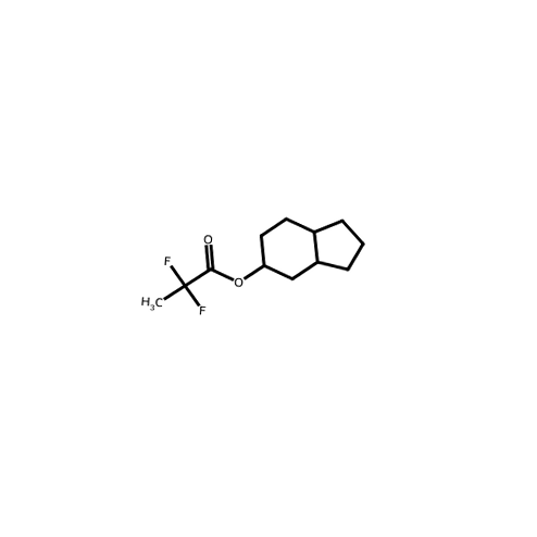 CC(F)(F)C(=O)OC1CCC2CCCC2C1